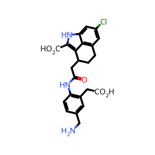 NCc1ccc(NC(=O)CC2CCc3cc(Cl)cc4[nH]c(C(=O)O)c2c34)c(CC(=O)O)c1